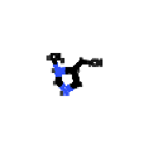 Cn1cncc1CC#N